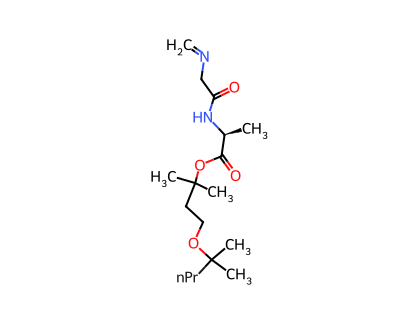 C=NCC(=O)N[C@@H](C)C(=O)OC(C)(C)CCOC(C)(C)CCC